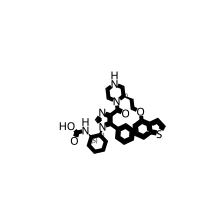 O=C(O)N[C@H]1CCCC[C@@H]1n1cnc(C(=O)N2CCNC[C@H]2CCOc2cccc3sccc23)c1-c1ccccc1